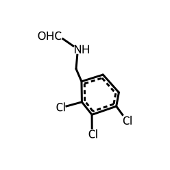 O=CNCc1ccc(Cl)c(Cl)c1Cl